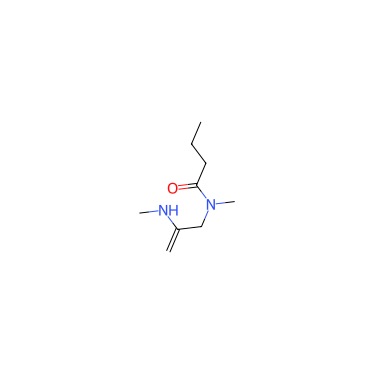 C=C(CN(C)C(=O)CCC)NC